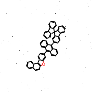 c1ccc2c(c1)-c1ccccc1C21c2ccccc2-c2ccc(-c3c4ccccc4c(-c4ccc5c(c4)oc4ccc6ccccc6c45)c4ccccc34)cc21